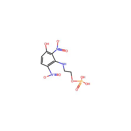 O=[N+]([O-])c1ccc(O)c([N+](=O)[O-])c1NCCOP(=O)(O)O